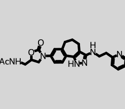 CC(=O)NCC1CN(c2ccc3c(c2)CCCc2c(NCCc4ccccn4)n[nH]c2-3)C(=O)O1